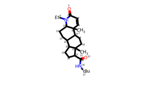 CCN1C(=O)C=CC2(C)C3CCC4(C)C(C(=O)NC(C)(C)C)CCC4C3CCC12